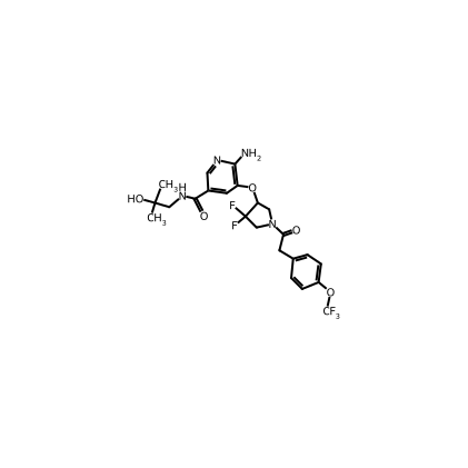 CC(C)(O)CNC(=O)c1cnc(N)c(OC2CN(C(=O)Cc3ccc(OC(F)(F)F)cc3)CC2(F)F)c1